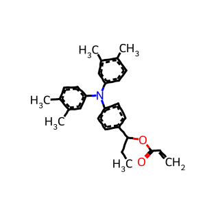 C=CC(=O)OC(CC)c1ccc(N(c2ccc(C)c(C)c2)c2ccc(C)c(C)c2)cc1